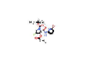 CC(=O)O[C@H]1[C@@H](C(=O)Nc2cccc(Br)n2)N(C(=O)OC(C)(C)C)C[C@@H]1F